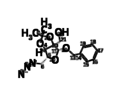 CC1(C)O[C@@H]2[C@@H](CN=[N+]=[N-])O[C@@H](OCc3ccccc3)[C@]2(CO)O1